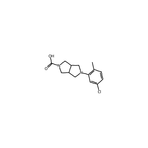 Cc1ccc(Cl)cc1N1CC2CN(C(=O)O)CC2C1